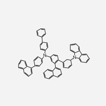 C1=CC(n2c3ccccc3c3ccccc32)CC(c2ccc(N(c3ccc(-c4ccccc4)cc3)c3ccc(-c4cccc5ccccc45)cc3)cc2-c2cccc3ccccc23)=C1